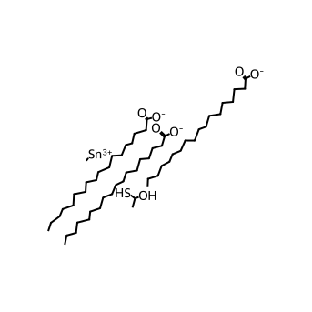 CC(O)S.CCCCCCCCCCCCCCCCCC(=O)[O-].CCCCCCCCCCCCCCCCCC(=O)[O-].CCCCCCCCCCCCCCCCCC(=O)[O-].[CH3][Sn+3]